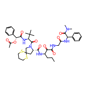 CCCC(NC(=O)[C@@H]1CC2(CN1C(=O)[C@@H](NC(=O)[C@H](OC(C)=O)c1ccccc1)C(C)(C)C)SCCCS2)C(=O)C(=O)NCC(=O)NC(C(=O)N(C)C)c1ccccc1